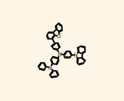 c1ccc(N(c2ccccc2)c2ccc(N(c3ccc(-c4cccc5c4oc4ccccc45)cc3)c3ccc(-n4c5ccccc5c5ccccc54)cc3)cc2)cc1